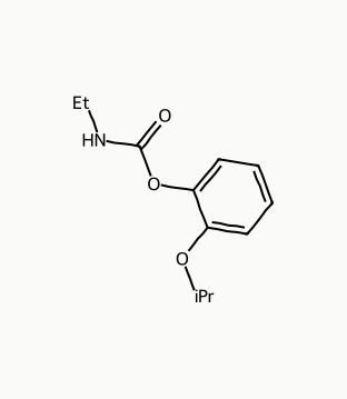 CCNC(=O)Oc1ccccc1OC(C)C